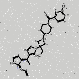 C=C/N=C1/NC=C/C1=C(/C)c1ccn(C2(CC#N)CN(C3CCN(C(=O)c4ccnc(C(F)(F)F)n4)CC3)C2)c1